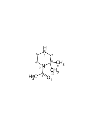 CC(=O)N1CCNCC1(C)C